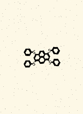 c1ccc(Sc2cc(Sc3ccccc3)c3ccc4c(Sc5ccccc5)cc(Sc5ccccc5)c5ccc2c3c54)cc1